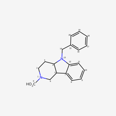 O=C(O)N1CCC2C(C1)c1ccccc1N2Cc1ccccc1